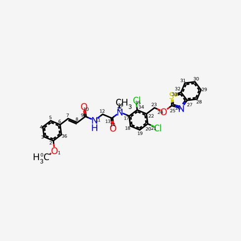 COc1cccc(C=CC(=O)NCC(=O)N(C)c2ccc(Cl)c(COc3nc4ccccc4s3)c2Cl)c1